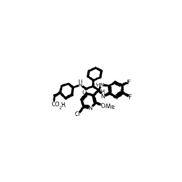 COc1nc(Cl)ccc1C1(C(C(=O)NC2CCC(CC(=O)O)CC2)C2CCCCC2)Nc2cc(F)c(F)cc2N1